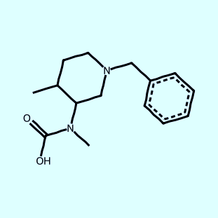 CC1CCN(Cc2ccccc2)CC1N(C)C(=O)O